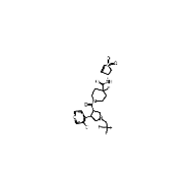 O=C([C@H]1CN(CC(F)(F)F)C[C@H]1c1ccccc1Cl)N1CCC(F)(C(=O)N[C@@H]2C=CS(=O)(=O)C2)CC1